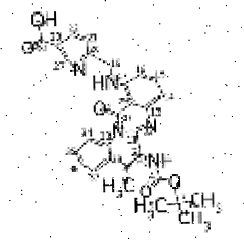 CC[C@H](NC(=O)OC(C)(C)C)c1nc2cccc(NCc3ccc(C(=O)O)cn3)c2c(=O)n1-c1ccccc1